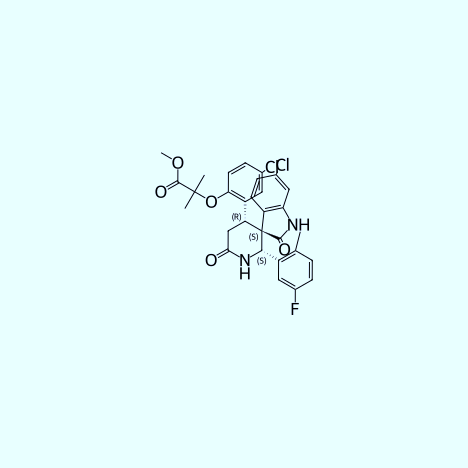 COC(=O)C(C)(C)Oc1ccc(Cl)cc1[C@H]1CC(=O)N[C@@H](c2cc(F)ccc2C)[C@]12C(=O)Nc1cc(Cl)ccc12